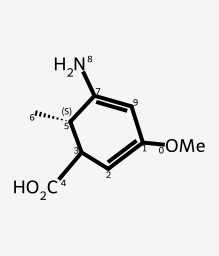 COC1=CC(C(=O)O)[C@H](C)C(N)=C1